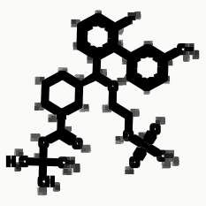 Cc1cccc(-c2c(F)cccc2C(OCCOS(C)(=O)=O)[C@@H]2CCCN(C(=O)OC(C)(C)C)C2)c1